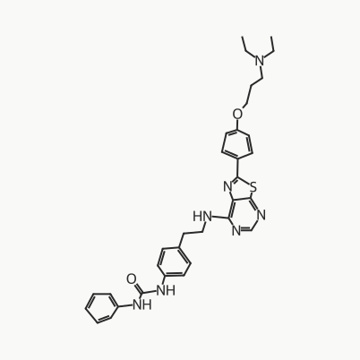 CCN(CC)CCCOc1ccc(-c2nc3c(NCCc4ccc(NC(=O)Nc5ccccc5)cc4)ncnc3s2)cc1